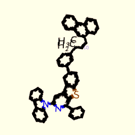 C=C(/C=C\c1c(C)c2ccccc2c2ccccc12)c1cccc(-c2ccc3sc4c(-c5ccccc5)nc(-n5c6ccccc6c6ccccc65)cc4c3c2)c1